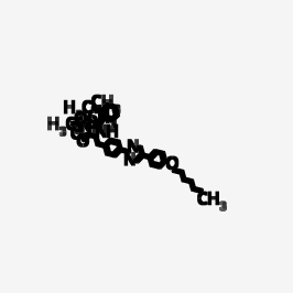 CCCCCCCOc1ccc(-c2cnc(-c3ccc(CC(NC(=O)c4ccccc4C(C)(C)C)C(=O)NS(C)(=O)=O)cc3)nc2)cc1